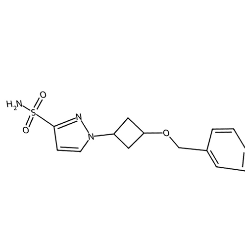 NS(=O)(=O)c1ccn(C2CC(OCc3ccccc3)C2)n1